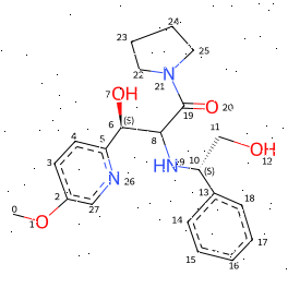 COc1ccc([C@@H](O)C(N[C@H](CO)c2ccccc2)C(=O)N2CCCC2)nc1